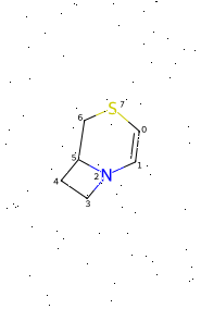 C1=CN2CCC2CS1